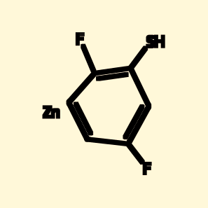 Fc1ccc(F)c(S)c1.[Zn]